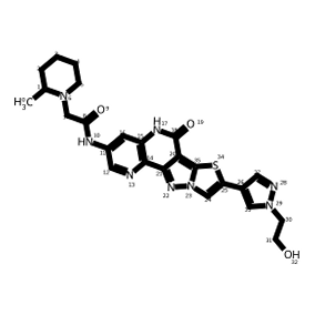 CC1CCCCN1CC(=O)Nc1cnc2c(c1)[nH]c(=O)c1c2nn2cc(-c3cnn(CCO)c3)sc12